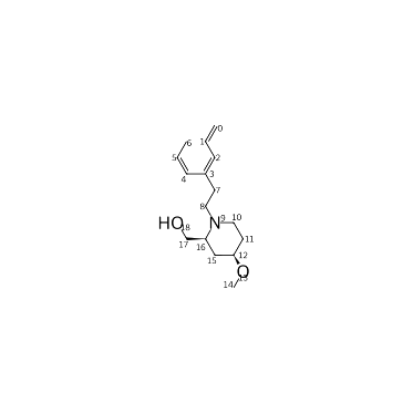 C=C/C=C(\C=C/C)CCN1CC[C@@H](OC)C[C@H]1CO